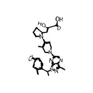 Cc1cc(Cl)ccc1C(C)n1nc(C)c2ncc(N3CCC(N4CCCC4CC(O)C(=O)O)C(C)C3)nc21